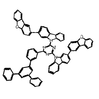 c1ccc(-c2cc(-c3ccccc3)cc(-c3cccc(-c4nc(-n5c6ccccc6c6ccc(-c7ccc8oc9ccccc9c8c7)cc65)nc(-n5c6ccccc6c6ccc(-c7ccc8oc9ccccc9c8c7)cc65)n4)c3)c2)cc1